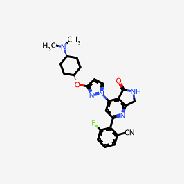 CN(C)[C@H]1CC[C@H](Oc2ccn(-c3cc(-c4c(F)cccc4C#N)nc4c3C(=O)NC4)n2)CC1